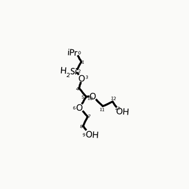 CC(C)C[SiH2]OCC(OCCO)OCCO